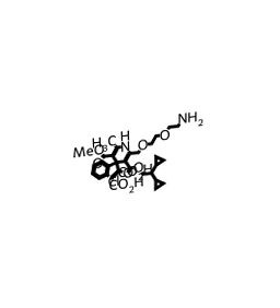 COC(=O)C1=C(C)NC(COCCOCCN)=C(C(=O)OCC(C2CC2)C2CC2)C1(/C(=C/C(=O)O)C(=O)O)c1ccccc1Cl